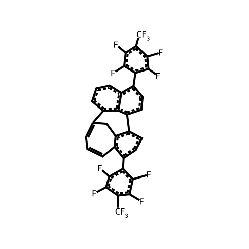 Fc1c(F)c(C(F)(F)F)c(F)c(F)c1-c1ccc2c3c1C=CC=C(C3)c1cccc3c(-c4c(F)c(F)c(C(F)(F)F)c(F)c4F)ccc-2c13